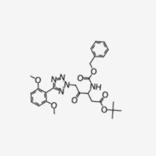 COc1cccc(OC)c1-c1nnn(CC(=O)C(CC(=O)OC(C)(C)C)NC(=O)OCc2ccccc2)n1